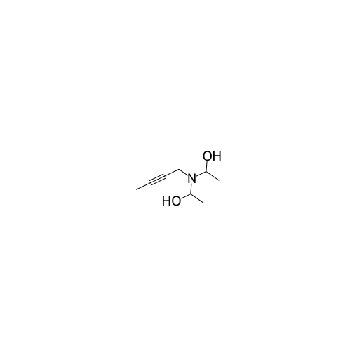 CC#CCN(C(C)O)C(C)O